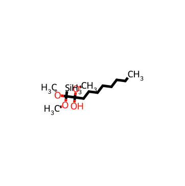 CCCCCCCCC(O)(OC)C([SiH3])(OC)OC